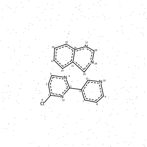 Clc1ccnc(-c2cccnc2)n1.c1ccc2ncncc2c1